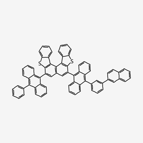 c1ccc(-c2c3ccccc3c(-c3cc4cc(-c5c6ccccc6c(-c6cccc(-c7ccc8ccccc8c7)c6)c6ccccc56)c5sc6ccccc6c5c4c4c3sc3ccccc34)c3ccccc23)cc1